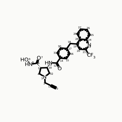 C#CCN1C[C@H](C(=O)NO)[C@H](NC(=O)c2ccc(Cc3cc(C(F)(F)F)nc4ccccc34)cc2)C1